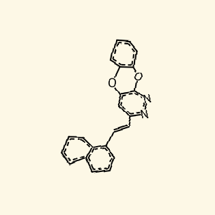 C(=Cc1cccc2ccccc12)c1cc2c(nn1)Oc1ccccc1O2